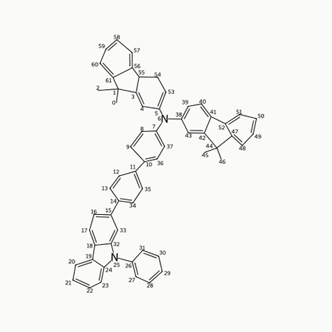 CC1(C)C2=CC(N(c3ccc(-c4ccc(-c5ccc6c7ccccc7n(-c7ccccc7)c6c5)cc4)cc3)c3ccc4c(c3)C(C)(C)c3ccccc3-4)=CCC2c2ccccc21